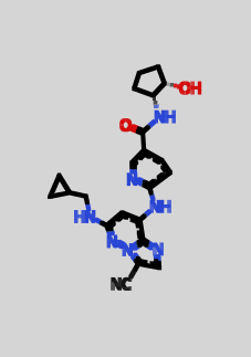 N#Cc1cnc2c(Nc3ccc(C(=O)N[C@@H]4CCC[C@@H]4O)cn3)cc(NCC3CC3)nn12